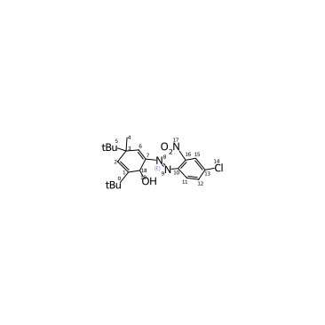 CC(C)(C)C1=CC(C)(C(C)(C)C)C=C(/N=N/c2ccc(Cl)cc2[N+](=O)[O-])C1O